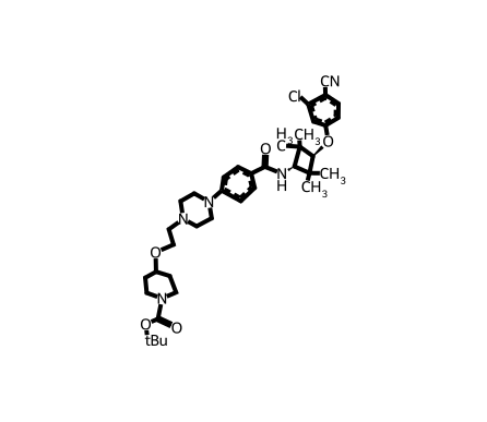 CC(C)(C)OC(=O)N1CCC(OCCN2CCN(c3ccc(C(=O)N[C@H]4C(C)(C)[C@H](Oc5ccc(C#N)c(Cl)c5)C4(C)C)cc3)CC2)CC1